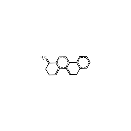 C=C1CCC=c2c1ccc1c2=CCc2ccccc2-1